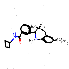 CN1c2ccc(C(=O)O)cc2CC(C)(C)C1c1cccc(C(=O)NC2CCC2)c1